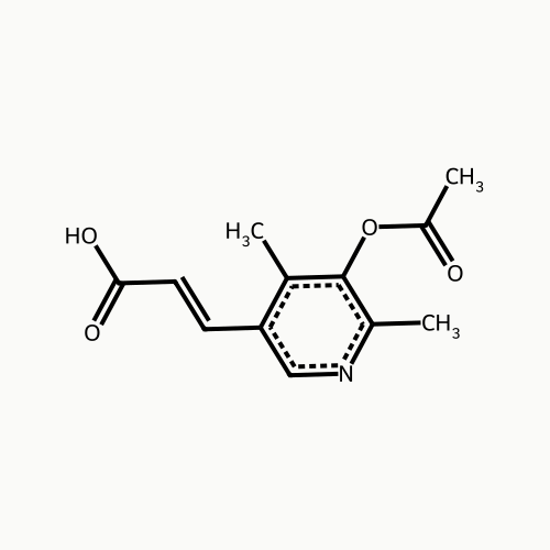 CC(=O)Oc1c(C)ncc(C=CC(=O)O)c1C